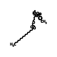 CCCCCCCCCCCCCCCC1OCC(COCCCCN2C=CSC2OS(=O)(=O)c2ccc(C)cc2)O1